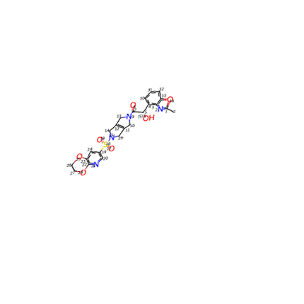 Cc1nc2c([C@H](O)C(=O)N3CC4=C(C3)CN(S(=O)(=O)c3cnc5c(c3)OCCO5)C4)cccc2o1